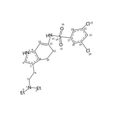 CCN(CC)CCc1c[nH]c2c1CCC(NS(=O)(=O)c1cc(Cl)cc(Cl)c1)=C2